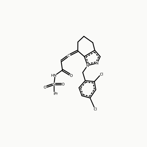 CC(C)S(=O)(=O)NC(=O)C=C=C1CCCc2cnn(Cc3ccc(Cl)cc3Cl)c21